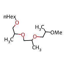 CCCCCCOCC(C)OCC(C)OCC(C)OC